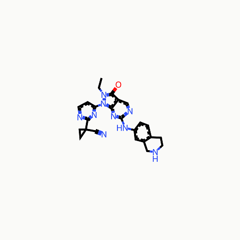 CCn1c(=O)c2cnc(Nc3ccc4c(c3)CNCC4)nc2n1-c1ccnc(C2(C#N)CC2)n1